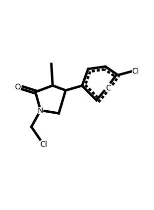 CC1C(=O)N(CCl)CC1c1ccc(Cl)cc1